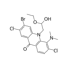 CCOC(O)Cn1c2cc(Br)c(Cl)cc2c(=O)c2ccc(Cl)c(N(C)C)c21